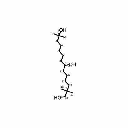 CC(C)(O)CCCCCC(O)CCCCC(C)(C)CO